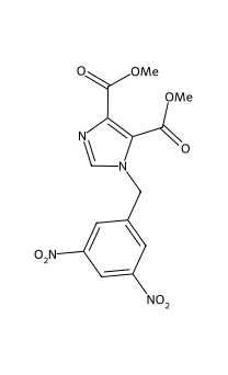 COC(=O)c1ncn(Cc2cc([N+](=O)[O-])cc([N+](=O)[O-])c2)c1C(=O)OC